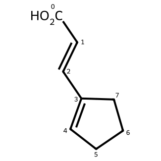 O=C(O)/C=C/C1=CCCC1